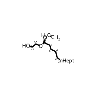 C=C.CCCCCCCCCCCC(=O)OCCO